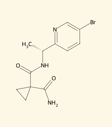 C[C@@H](NC(=O)C1(C(N)=O)CC1)c1ccc(Br)cn1